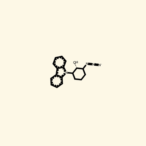 [N-]=[N+]=NC1CCCC(n2c3ccccc3c3ccccc32)[C@@H]1O